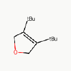 CC(C)(C)C1=C(C(C)(C)C)COC1